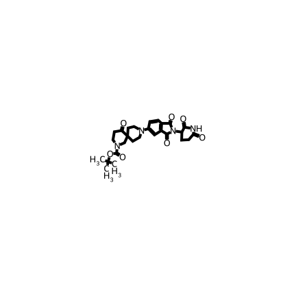 CC(C)(C)OC(=O)N1CCC(=O)C2(CCN(c3ccc4c(c3)C(=O)N(C3CCC(=O)NC3=O)C4=O)CC2)C1